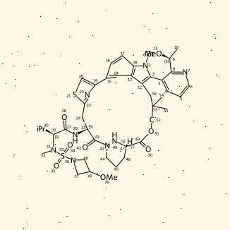 CCn1c(-c2cccnc2[C@H](C)OC)c2c3cc(ccc31)-c1csc(n1)C[C@H](NC(=O)[C@H](C(C)C)N(C)S(=O)(=O)N1CC(OC)C1)C(=O)N1CCC[C@H](N1)C(=O)OCC(C)(C)C2